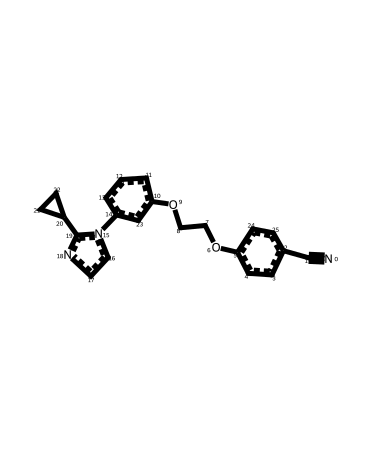 N#Cc1ccc(OCCOc2cccc(-n3ccnc3C3CC3)c2)cc1